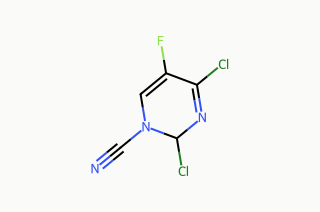 N#CN1C=C(F)C(Cl)=NC1Cl